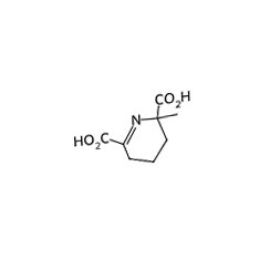 CC1(C(=O)O)CCCC(C(=O)O)=N1